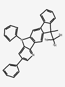 [2H]C([2H])([2H])C1(C)c2ccccc2-c2cc3c(cc21)c1ncc(-c2ccccc2)cc1n3-c1ccccc1